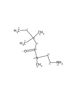 CCC(C)(C)CC(=O)N(C)CCN